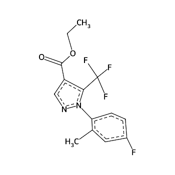 CCOC(=O)c1cnn(-c2ccc(F)cc2C)c1C(F)(F)F